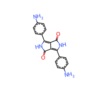 Nc1ccc(C2=C3C(=O)NC(c4ccc(N)cc4)=C3C(=O)N2)cc1